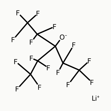 [Li+].[O-]C(C(F)(F)C(F)(F)F)(C(F)(F)C(F)(F)F)C(F)(F)C(F)(F)F